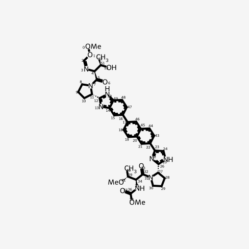 COO/C=N\[C@H](C(=O)N1CCC[C@H]1c1nc2cc(-c3ccc4cc(-c5c[nH]c([C@@H]6CCCN6C(=O)[C@@H](NC(=O)OC)[C@@H](C)OC)n5)ccc4c3)ccc2[nH]1)[C@@H](C)O